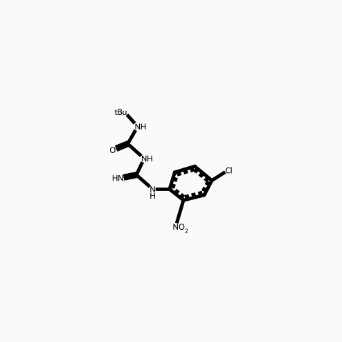 CC(C)(C)NC(=O)NC(=N)Nc1ccc(Cl)cc1[N+](=O)[O-]